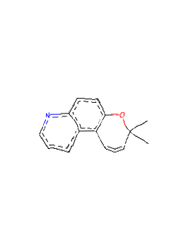 CC1(C)C=Cc2c(ccc3ncccc23)O1